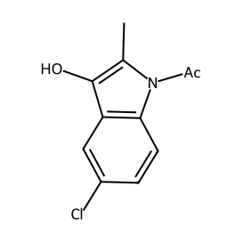 CC(=O)n1c(C)c(O)c2cc(Cl)ccc21